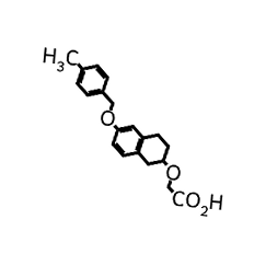 Cc1ccc(COc2ccc3c(c2)CCC(OCC(=O)O)C3)cc1